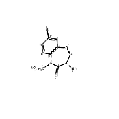 CN1C(=O)[C@@H](N)COc2cc(Br)ccc21.Cl